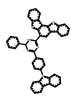 c1ccc(C2N=C(c3ccc(-n4c5ccccc5c5ccccc54)cc3)N=C(c3cc4c5ccccc5oc4c4c3sc3ccccc34)N2)cc1